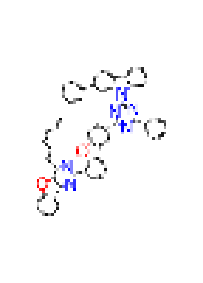 C=C/C=C\C=C\c1nc(-c2cccc3c2oc2ccc(-c4nc(-c5ccccc5)nc(-n5c6ccccc6c6ccc(-c7ccccc7)cc65)n4)cc23)nc2c1oc1ccccc12